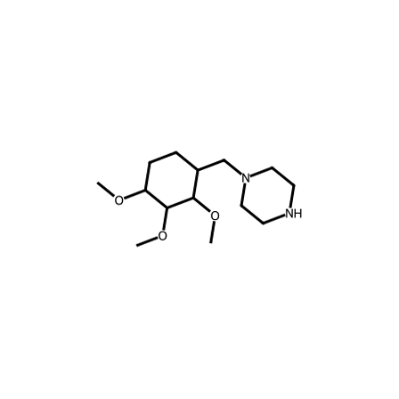 COC1CCC(CN2CCNCC2)C(OC)C1OC